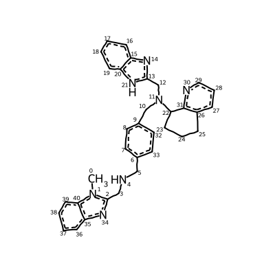 Cn1c(CNCc2ccc(CN(Cc3nc4ccccc4[nH]3)C3CCCc4cccnc43)cc2)nc2ccccc21